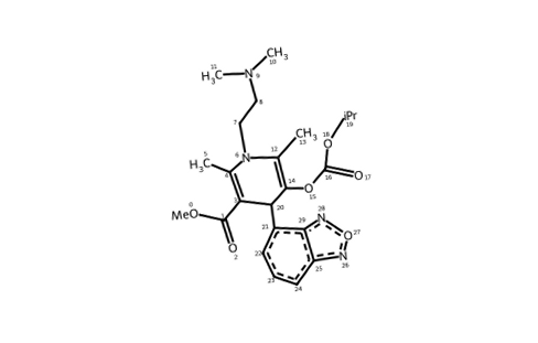 COC(=O)C1=C(C)N(CCN(C)C)C(C)=C(OC(=O)OC(C)C)C1c1cccc2nonc12